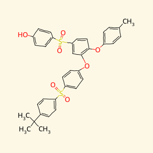 Cc1ccc(Oc2ccc(S(=O)(=O)c3ccc(O)cc3)cc2Oc2ccc(S(=O)(=O)c3ccc(C(C)(C)C)cc3)cc2)cc1